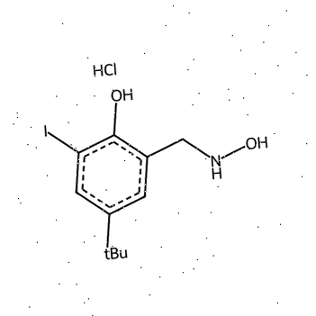 CC(C)(C)c1cc(I)c(O)c(CNO)c1.Cl